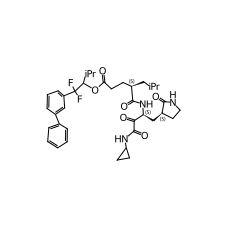 CC(C)C[C@H](CCC(=O)OC(C(C)C)C(F)(F)c1cccc(-c2ccccc2)c1)C(=O)N[C@@H](C[C@@H]1CCNC1=O)C(=O)C(=O)NC1CC1